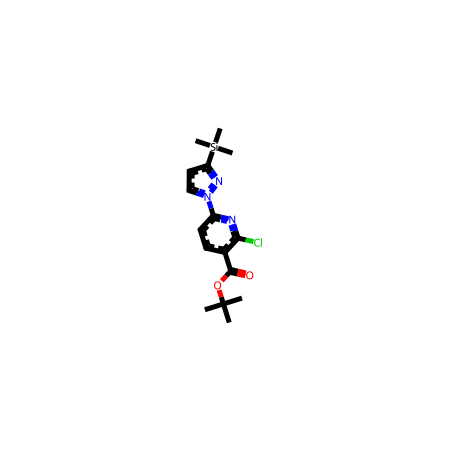 CC(C)(C)OC(=O)c1ccc(-n2ccc([Si](C)(C)C)n2)nc1Cl